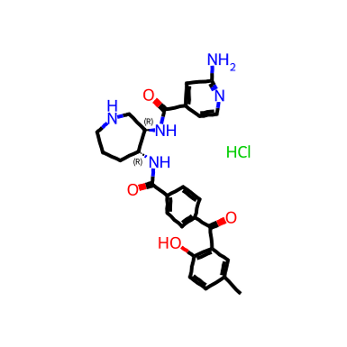 Cc1ccc(O)c(C(=O)c2ccc(C(=O)N[C@@H]3CCCNC[C@H]3NC(=O)c3ccnc(N)c3)cc2)c1.Cl